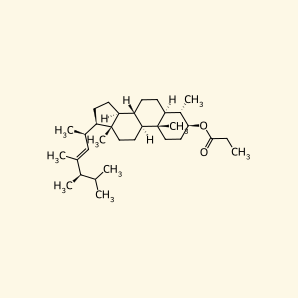 CCC(=O)O[C@H]1CC[C@@]2(C)[C@@H](CC[C@@H]3[C@@H]2CC[C@]2(C)[C@@H]([C@H](C)/C=C(\C)[C@H](C)C(C)C)CC[C@@H]32)[C@@H]1C